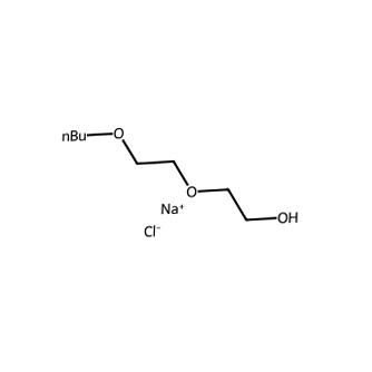 CCCCOCCOCCO.[Cl-].[Na+]